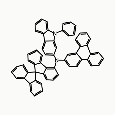 c1ccc(-n2c3ccccc3c3ccc(N(c4ccc5c6ccccc6c6ccccc6c5c4)c4cccc5c4-c4ccccc4C54c5ccccc5-c5ccccc54)cc32)cc1